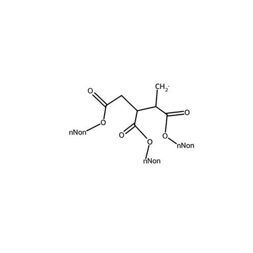 [CH2]C(C(=O)OCCCCCCCCC)C(CC(=O)OCCCCCCCCC)C(=O)OCCCCCCCCC